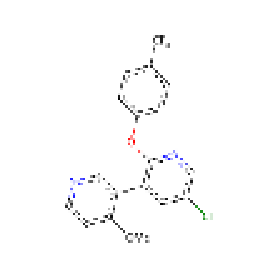 COc1ccncc1-c1cc(Cl)cnc1Oc1ccc(C(F)(F)F)cc1